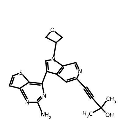 CC(C)(O)C#Cc1cc2c(-c3nc(N)nc4ccsc34)cn(C3COC3)c2cn1